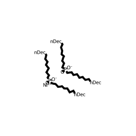 CCCCCCCCCCCCCCCCCCP(=O)([O-])CCCCCCCCCCCCCCCCCC.CCCCCCCCCCCCCCCCCCP(=O)([O-])CCCCCCCCCCCCCCCCCC.[Ni+2]